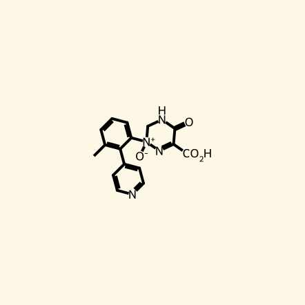 Cc1cccc([N+]2([O-])CNC(=O)C(C(=O)O)=N2)c1-c1ccncc1